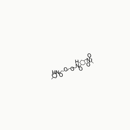 CC1=CC(=O)N(CC2CCC(C(=O)NCCOCCOCCC(=O)Nc3ccc(C)cc3)CC2)C1=O